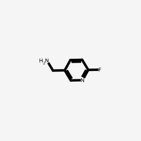 NCc1ccc(F)nc1